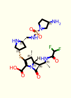 C[C@@H](NC(=O)C(F)F)[C@H]1C(=O)N2C(C(=O)O)=C(S[C@@H]3CN[C@H](CNS(=O)(=O)N4CC[C@@H](N)C4)C3)[C@H](C)[C@H]12